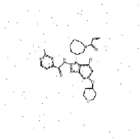 C=CC(=O)N1CCCC[C@@H](n2c(NC(=O)c3ccnc(C)c3)nc3cc(OC4CCOCC4)cc(Cl)c32)C1